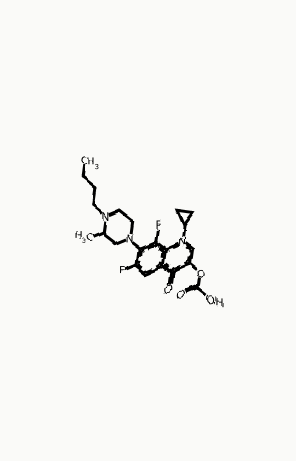 CCCCN1CCN(c2c(F)cc3c(=O)c(OC(=O)O)cn(C4CC4)c3c2F)CC1C